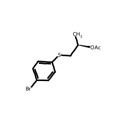 CC(=O)O[C@H](C)CSc1ccc(Br)cc1